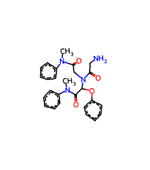 CN(C(=O)CN(C(=O)CN)C(Oc1ccccc1)C(=O)N(C)c1ccccc1)c1ccccc1